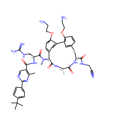 Cc1nc(-c2ccc(C(C)(C)C)cc2)ncc1C(=O)N[C@@H](CNC(=N)N)C(=O)N(C)[C@@H]1C(=O)N[C@@H](C)C(=O)N[C@H](C(=O)NCC#N)Cc2ccc(OCCN)c(c2)-c2cc1ccc2OCCN